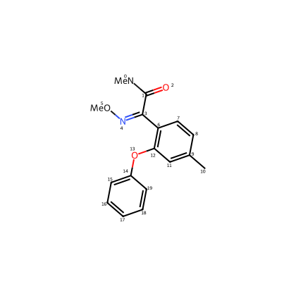 CNC(=O)C(=NOC)c1ccc(C)cc1Oc1ccccc1